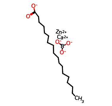 CCCCCCCCCCCCCCCCCC(=O)[O-].[Ca+2].[O-]B([O-])[O-].[Zn+2]